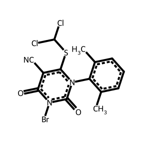 Cc1cccc(C)c1-n1c(SC(Cl)Cl)c(C#N)c(=O)n(Br)c1=O